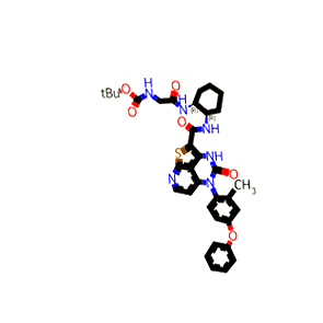 Cc1cc(Oc2ccccc2)ccc1N1C(=O)Nc2c(C(=O)N[C@@H]3CCCC[C@H]3NC(=O)CNC(=O)OC(C)(C)C)sc3nccc1c23